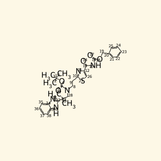 CC(C)(C)OC(=O)N(CCc1nc(C(=O)NC(=O)OCc2ccccc2)cs1)CC(C)(C)c1nc2ccccc2[nH]1